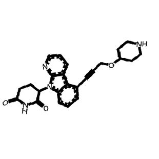 O=C1CCC(n2c3cccc(C#CCOC4CCNCC4)c3c3cccnc32)C(=O)N1